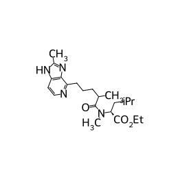 CCOC(=O)[C@H](CC(C)C)N(C)C(=O)C(C)CCCc1nccc2[nH]c(C)nc12